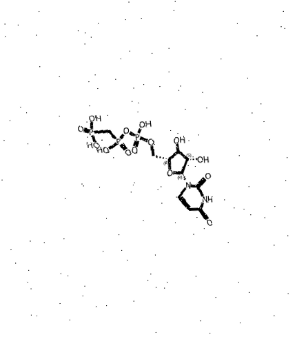 O=c1ccn([C@@H]2O[C@H](COP(=O)(O)OP(=O)(O)CP(=O)(O)O)C(O)[C@@H]2O)c(=O)[nH]1